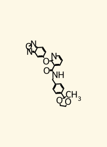 CC1(c2ccc(CNC(=O)c3cccnc3Oc3ccc4nonc4c3)cc2)OCCO1